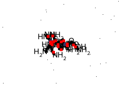 C[C@H](NC(=O)C[C@@H](O)CN)C(=O)NCC(=O)/N=C(\CCCN)C(=O)N1CCC[C@H]1C(=O)N[C@@H](Cc1ccccn1)C(=O)N[C@@H](CCCCN)C(=O)N/C(=C\CCNC(=N)N)C(=O)N[C@@H](CCCCN)C(=O)NCCCCN